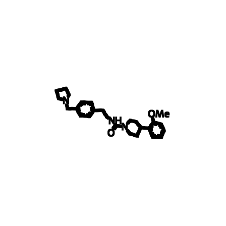 COc1ccccc1C1CCN(C(=O)NCCc2ccc(CN3CCCC3)cc2)CC1